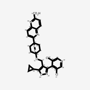 O=C(O)c1ccc2nc(C34CCC(OCc5c(-c6c(Cl)cncc6Cl)noc5C5CC5)(CC3)CC4)ccc2n1